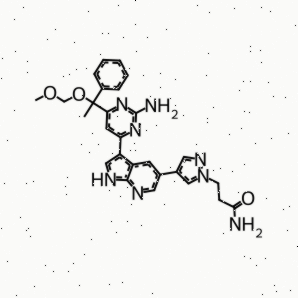 COCOC(C)(c1ccccc1)c1cc(-c2c[nH]c3ncc(-c4cnn(CCC(N)=O)c4)cc23)nc(N)n1